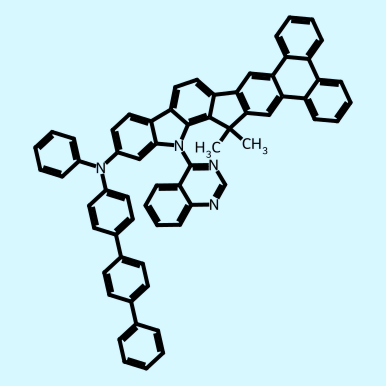 CC1(C)c2cc3c4ccccc4c4ccccc4c3cc2-c2ccc3c4ccc(N(c5ccccc5)c5ccc(-c6ccc(-c7ccccc7)cc6)cc5)cc4n(-c4ncnc5ccccc45)c3c21